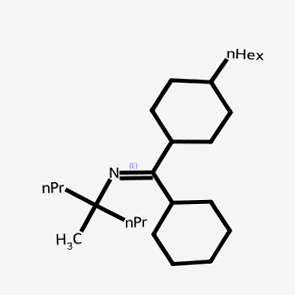 CCCCCCC1CCC(/C(=N/C(C)(CCC)CCC)C2CCCCC2)CC1